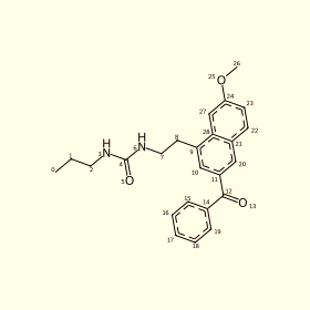 CCCNC(=O)NCCc1cc(C(=O)c2ccccc2)cc2ccc(OC)cc12